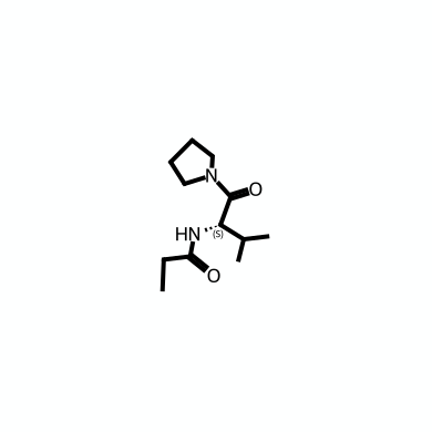 CCC(=O)N[C@H](C(=O)N1CCCC1)C(C)C